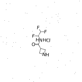 Cl.O=C(NC(F)C(F)F)C1CNC1